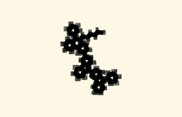 CCCCCCCC(c1ccccc1)c1ccccc1-c1cc(-c2ccc3c(c2)c2ccccc2n3-c2ccc3c(c2)c2ccccc2n3-c2ccccc2)ccc1C